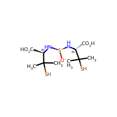 CC(C)(S)[C@H](N[S+]([O-])N[C@H](C(=O)O)C(C)(C)S)C(=O)O